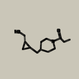 CCC(=O)N1CCC(CC2CC2CO)CC1